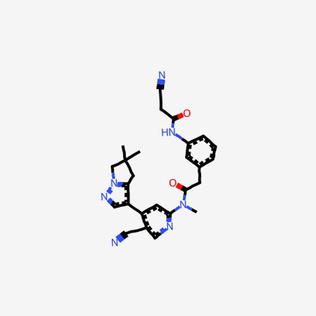 CN(C(=O)Cc1cccc(NC(=O)CC#N)c1)c1cc(-c2cnn3c2CC(C)(C)C3)c(C#N)cn1